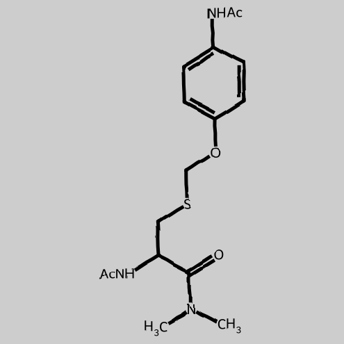 CC(=O)Nc1ccc(OCSCC(NC(C)=O)C(=O)N(C)C)cc1